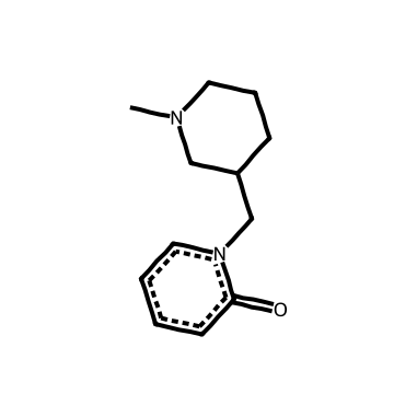 CN1CCCC(Cn2ccccc2=O)C1